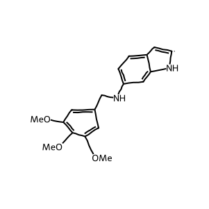 COc1cc(CNc2ccc3c[c][nH]c3c2)cc(OC)c1OC